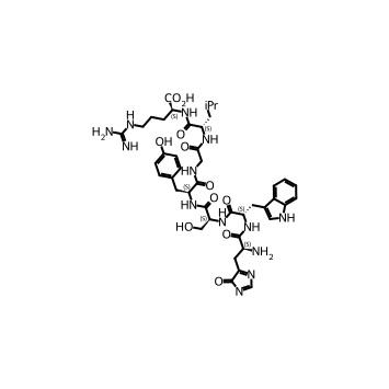 CC(C)C[C@H](NC(=O)CNC(=O)[C@H](Cc1ccc(O)cc1)NC(=O)[C@H](CO)NC(=O)[C@H](Cc1c[nH]c2ccccc12)NC(=O)[C@@H](N)CC1=NC=NC1=O)C(=O)N[C@@H](CCCNC(=N)N)C(=O)O